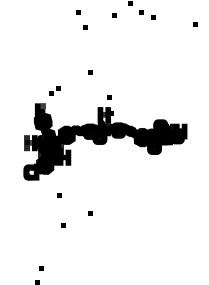 O=C(COCCCc1ccc(-c2nn(-c3nc4cc(Cl)ccc4[nH]3)c(O)c2CCc2ccc(F)cc2)cc1)NCCOCC#Cc1ccc2c(c1)CN(C1CCC(=O)NC1=O)C2=O